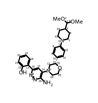 COC(OC)C1CCN(c2ccc([C@H]3CN(c4cc(-c5ccccc5O)nnc4N)CCO3)cc2)CC1